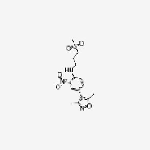 Cc1noc(C)c1-c1ccc(NCCCS(C)(=O)=O)c([N+](=O)[O-])c1